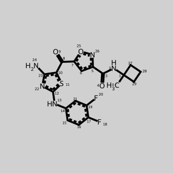 CC1(NC(=O)c2cc(C(=O)c3sc(Nc4ccc(F)c(F)c4)nc3N)on2)CCC1